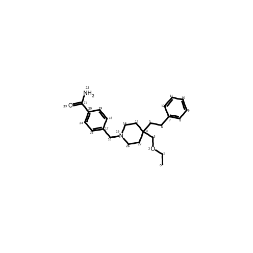 CCOCC1(CCc2ccccc2)CCN(Cc2ccc(C(N)=O)cc2)CC1